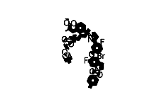 COC(=O)[C@H](C)Cc1cccc(C(C)(CCCC(C)(C)CS(=O)(=O)CCO[Si](C)(C)C(C)(C)C)n2ccc(-c3cc(Oc4c(F)cc5c(ccn5S(=O)(=O)c5ccc(C)cc5)c4Br)ccc3F)n2)c1